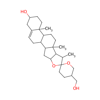 CC1C2C(CC3C4CC=C5CC(O)CCC5(C)C4CCC32C)OC12CCC(CO)CO2